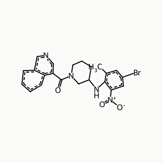 Cc1cc(Br)cc([N+](=O)[O-])c1NC1CCCN(C(=O)c2cncc3ccccc23)C1